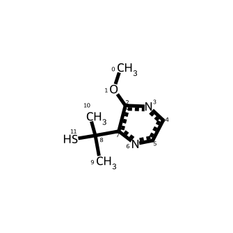 COc1nccnc1C(C)(C)S